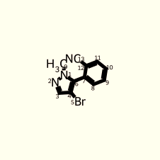 Cn1ncc(Br)c1-c1ccccc1C#N